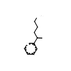 [CH2]OCCCC(C)c1ccccn1